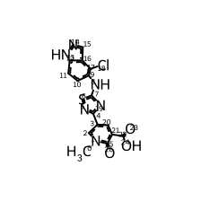 Cn1cc(-c2nsc(Nc3ccc4[nH]ncc4c3Cl)n2)cc(C(=O)O)c1=O